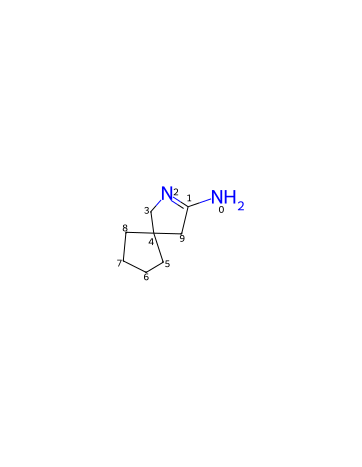 NC1=NCC2(CCCC2)C1